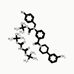 CC(C)(C)OC(=O)NC(=O)OC(C)(C)C.Cc1cccc(C2CCN(C(=O)c3cccc(N(Cc4ccc(Br)cc4)C(=O)OC(C)(C)C)c3)CC2)c1